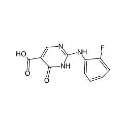 O=C(O)c1cnc(Nc2ccccc2F)[nH]c1=O